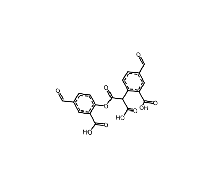 O=Cc1ccc(OC(=O)C(C(=O)O)c2ccc(C=O)cc2C(=O)O)c(C(=O)O)c1